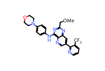 COCc1nc(Nc2ccc(N3CCOCC3)cc2)c2ncc(-c3ncccc3C(F)(F)F)cc2n1